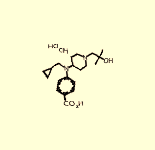 CC(C)(O)CN1CCC(N(CC2CC2)c2ccc(C(=O)O)cc2)CC1.Cl.Cl